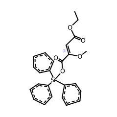 CCOC(=O)/C=C(\OC)C(=O)O[Si](c1ccccc1)(c1ccccc1)c1ccccc1